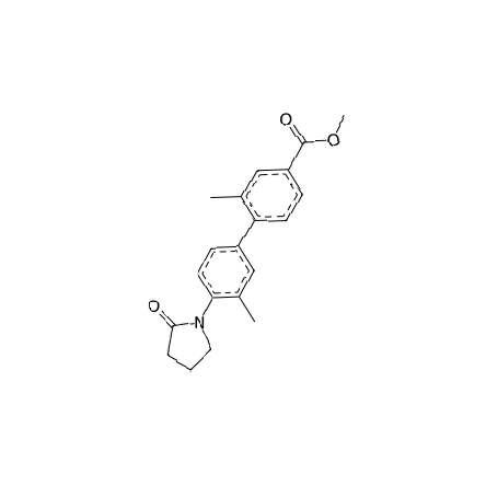 COC(=O)c1ccc(-c2ccc(N3CCCC3=O)c(C)c2)c(C)c1